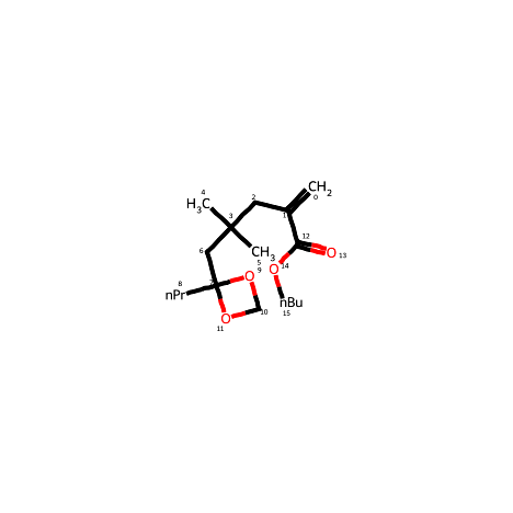 C=C(CC(C)(C)CC1(CCC)OCO1)C(=O)OCCCC